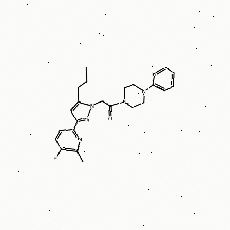 CCCc1cc(-c2ccc(F)c(C)n2)nn1CC(=O)N1CCN(c2ccccn2)CC1